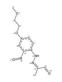 COCCOc1ccc(N/N=C(/C)C=O)c(N=O)c1